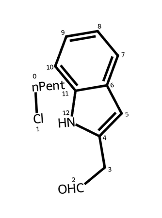 CCCCCCl.O=CCc1cc2ccccc2[nH]1